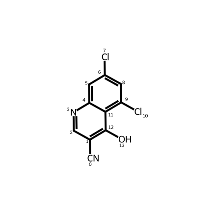 N#Cc1cnc2cc(Cl)cc(Cl)c2c1O